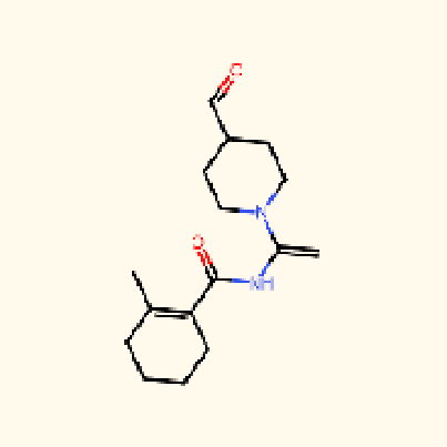 C=C(NC(=O)C1=C(C)CCCC1)N1CCC(C=O)CC1